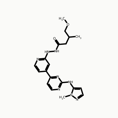 COCC(C)CC(=O)NNc1cc(-c2ccnc(Nc3ccnn3C)n2)ccn1